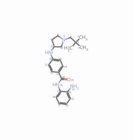 CC(C)(C)CN1CCC(Nc2ccc(C(=O)Nc3ccccc3N)cc2)C1